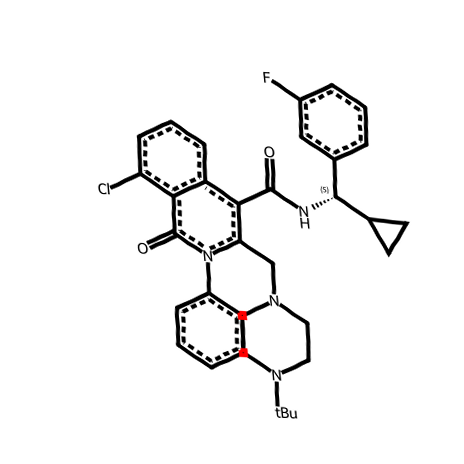 CC(C)(C)N1CCN(Cc2c(C(=O)N[C@H](c3cccc(F)c3)C3CC3)c3cccc(Cl)c3c(=O)n2-c2ccccc2)CC1